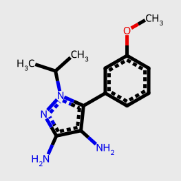 COc1cccc(-c2c(N)c(N)nn2C(C)C)c1